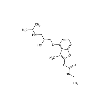 CCNC(=O)Oc1oc2cccc(OCC(O)CNC(C)C)c2c1C